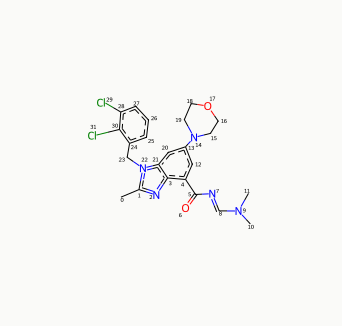 Cc1nc2c(C(=O)N=CN(C)C)cc(N3CCOCC3)cc2n1Cc1cccc(Cl)c1Cl